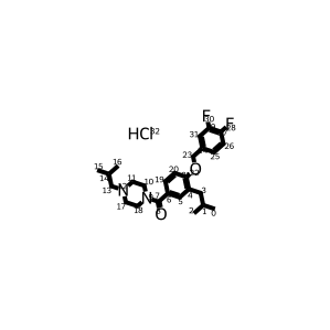 CC(C)Cc1cc(C(=O)N2CCN(CC(C)C)CC2)ccc1OCc1ccc(F)c(F)c1.Cl